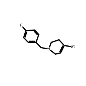 CC(C)C1=CCN(Cc2ccc(F)cc2)CC1